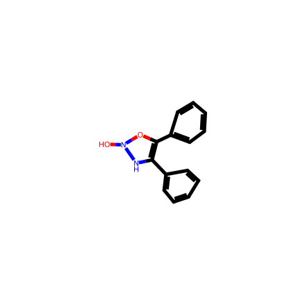 ON1NC(c2ccccc2)=C(c2ccccc2)O1